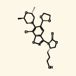 C[C@@H]1CN(c2c(C3OCCO3)cc3c(N4C(=O)OC[C@@H]4CCCO)noc3c2Cl)C[C@@H](C)O1